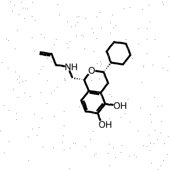 C=CCNC[C@@H]1O[C@H](C2CCCCC2)Cc2c1ccc(O)c2O